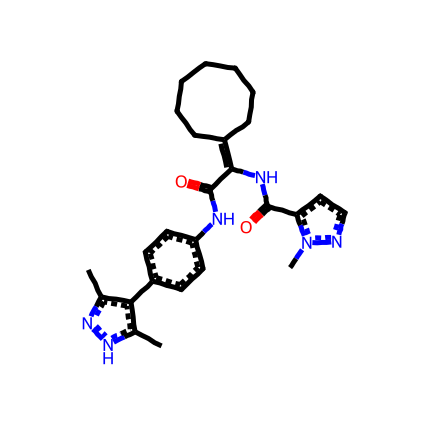 Cc1n[nH]c(C)c1-c1ccc(NC(=O)C(NC(=O)c2ccnn2C)=C2CCCCCCC2)cc1